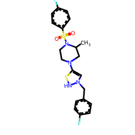 CC1CN(C2=CN(Cc3ccc(F)cc3)NS2)CCN1S(=O)(=O)c1ccc(F)cc1